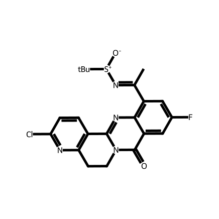 CC(=N[S+]([O-])C(C)(C)C)c1cc(F)cc2c(=O)n3c(nc12)-c1ccc(Cl)nc1CC3